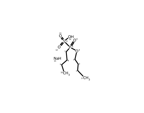 CCCCOP(=O)(CCCC)S(=O)(=O)O.[NaH]